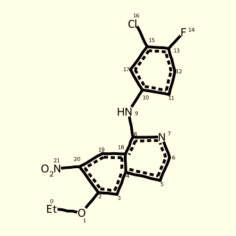 CCOc1cc2ccnc(Nc3ccc(F)c(Cl)c3)c2cc1[N+](=O)[O-]